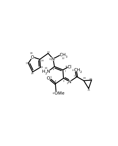 C=C(/N=C(C(=O)OC)\C(Cl)=C(/N)N(C)Cc1ccco1)C1CC1